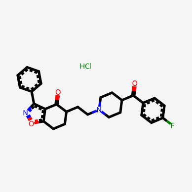 Cl.O=C(c1ccc(F)cc1)C1CCN(CCC2CCc3onc(-c4ccccc4)c3C2=O)CC1